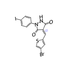 O=C1NN(c2ccc(I)cc2)C(=O)/C1=C\c1cc(Br)cs1